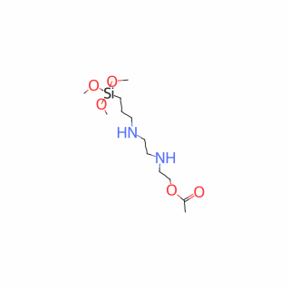 CO[Si](CCCNCCNCCOC(C)=O)(OC)OC